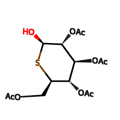 CC(=O)OC[C@H]1S[C@@H](O)[C@H](OC(C)=O)[C@@H](OC(C)=O)[C@@H]1OC(C)=O